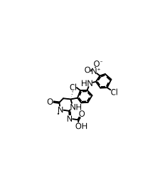 CN1C(=O)C[C@@](C)(c2cccc(Nc3cc(Cl)ccc3[N+](=O)[O-])c2Cl)N/C1=N\C(=O)O